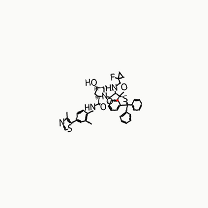 Cc1cc(-c2scnc2C)ccc1CNC(=O)[C@H]1C[C@@H](O)CN1C(=O)C(NC(=O)C1(F)CC1)C(C)(C)SC(c1ccccc1)(c1ccccc1)c1ccccc1